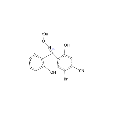 CC(C)(C)O/N=C(/c1cc(Br)c(C#N)cc1O)c1ncccc1O